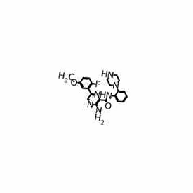 COc1ccc(F)c(-c2cnc(N)c(C(=O)Nc3ccccc3N3CCNCC3)n2)c1